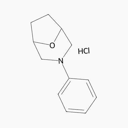 Cl.c1ccc(N2CC3CCC(C2)O3)cc1